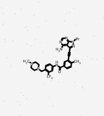 Cc1ccc(C(=O)Nc2ccc(CN3CCN(C)CC3)c(C(F)(F)F)c2)cc1C#Cc1nn(C(C)C)c2ncnc(N)c12